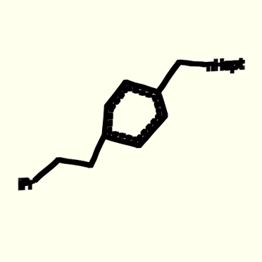 CCCCCCCCc1ccc(CCC(C)C)cc1